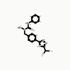 CCCCN(Cc1ccc(-c2nnc(C(F)F)o2)cc1)C(=O)Nc1ccccc1